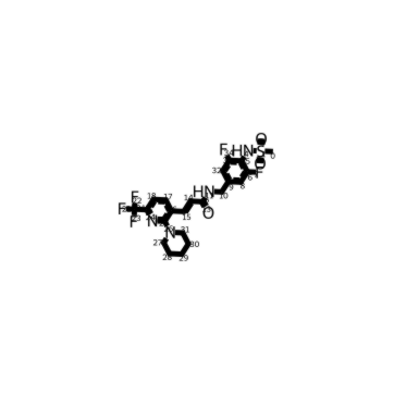 CS(=O)(=O)Nc1c(F)cc(CNC(=O)C=Cc2ccc(C(F)(F)F)nc2N2CCCCC2)cc1F